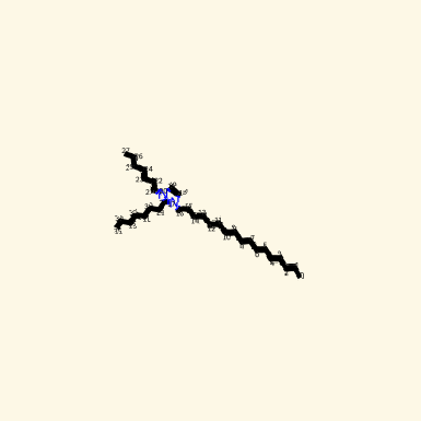 CCCCCCCCCCCCCCCCCN1C=CN(CCCCCCC)C1CCCCCCC